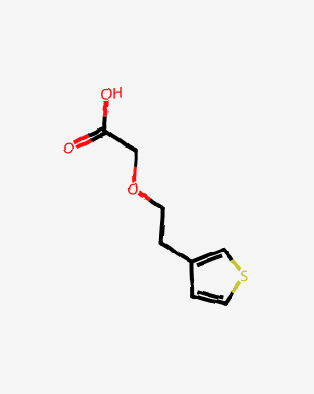 O=C(O)COCCc1ccsc1